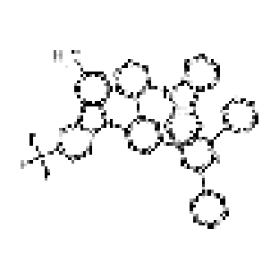 Cc1ccc2c(c1)c1cc(C(F)(F)F)ccc1n2-c1ccc(-c2cc(-c3ccccc3)nc(-c3ccccc3)n2)cc1-c1ccccc1-n1c2ccccc2c2ccccc21